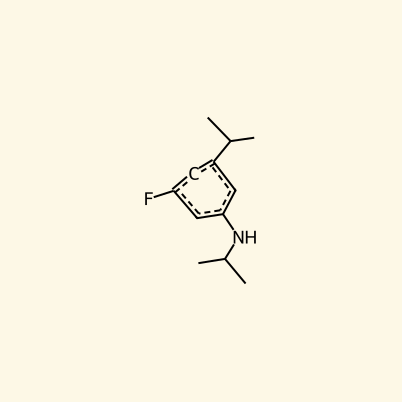 CC(C)Nc1cc(F)cc(C(C)C)c1